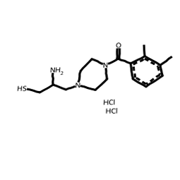 Cc1cccc(C(=O)N2CCN(CC(N)CS)CC2)c1C.Cl.Cl